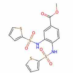 COC(=O)c1ccc(NS(=O)(=O)c2cccs2)c(NS(=O)(=O)c2cccs2)c1